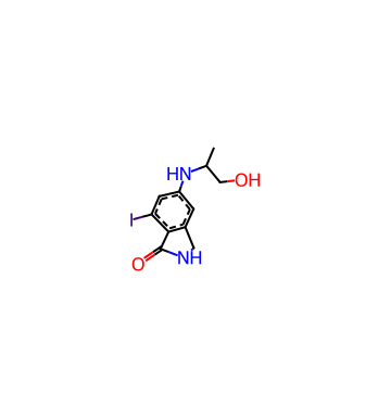 CC(CO)Nc1cc(I)c2c(c1)CNC2=O